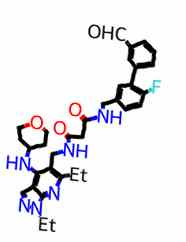 CCc1nc2c(cnn2CC)c(NC2CCOCC2)c1CNC(=O)CC(=O)NCc1ccc(F)c(-c2cccc(C=O)c2)c1